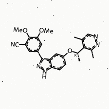 COc1cc(-c2n[nH]c3ccc(O[C@H](C)c4c(C)cnnc4C)cc23)cc(C#N)c1OC